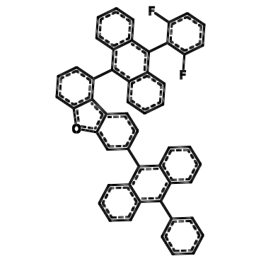 Fc1cccc(F)c1-c1c2ccccc2c(-c2cccc3oc4cc(-c5c6ccccc6c(-c6ccccc6)c6ccccc56)ccc4c23)c2ccccc12